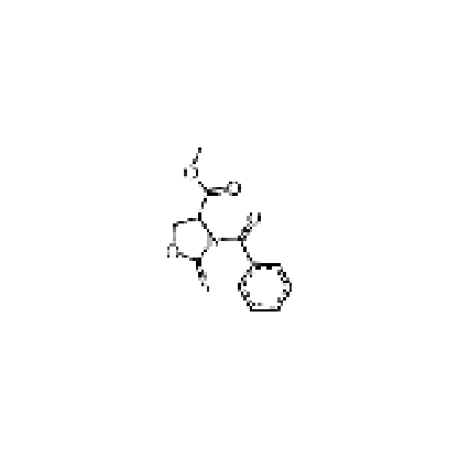 COC(=O)C1COC(=S)N1C(=O)c1ccccc1